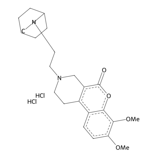 COc1ccc2c3c(c(=O)oc2c1OC)CN(CCN1CC2CCC(CC2)C1)CC3.Cl.Cl